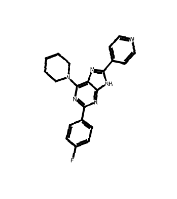 Fc1ccc(-c2nc(N3CCCCC3)c3nc(-c4ccncc4)[nH]c3n2)cc1